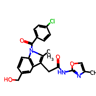 Cc1coc(NC(=O)Cc2c(C)n(C(=O)c3ccc(Cl)cc3)c3ccc(CO)cc23)n1